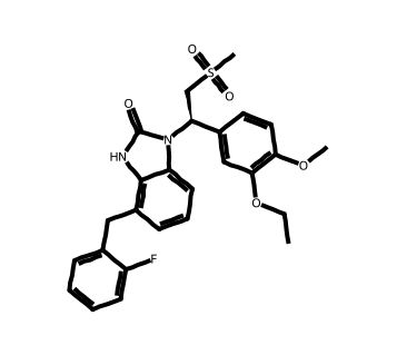 CCOc1cc([C@H](CS(C)(=O)=O)n2c(=O)[nH]c3c(Cc4ccccc4F)cccc32)ccc1OC